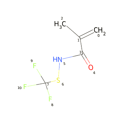 C=C(C)C(=O)NSC(F)(F)F